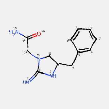 N=C1NC(Cc2ccccc2)CN1CC(N)=O